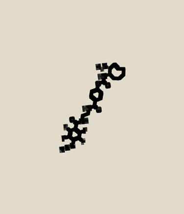 [N-]=[N+]=Nc1c(F)c(F)c(C(=O)NCCNC(=O)c2ccc(OC(=O)N[C@@H]3CCCC/C=C/[C@H]3N)cc2)c(F)c1F